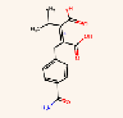 CC(C)/C(C(=O)O)=C(\Cc1ccc(C(N)=O)cc1)C(=O)O